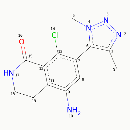 Cc1nnn(C)c1-c1cc(N)c2c(c1Cl)C(=O)NCC2